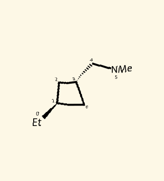 CC[C@H]1C[C@H](CNC)C1